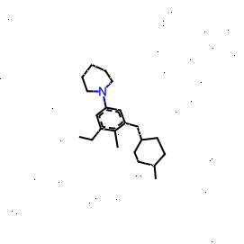 CCc1cc(N2CCCCC2)cc(CC2CCC(C)CC2)c1C